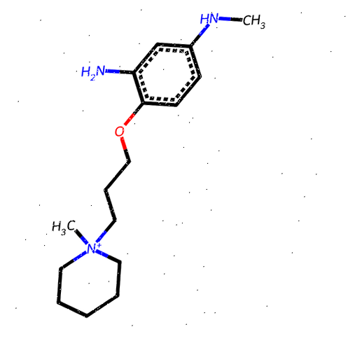 CNc1ccc(OCCC[N+]2(C)CCCCC2)c(N)c1